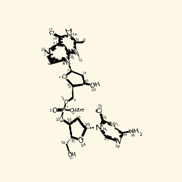 COP(=O)(OC[C@H]1O[C@@H](n2cnc3c(=O)[nH]c(C)nc32)CC1O)OC1C[C@H](n2cnc(N)nc2=O)O[C@@H]1CO